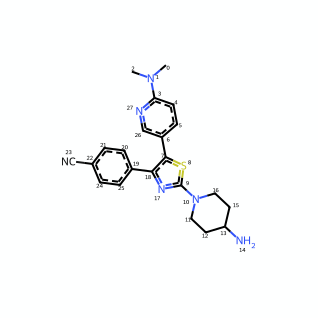 CN(C)c1ccc(-c2sc(N3CCC(N)CC3)nc2-c2ccc(C#N)cc2)cn1